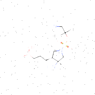 CC(C)(CN)OS(=O)(=O)N1C[C@H](CCCB(O)O)[C@@](C)(N)C1